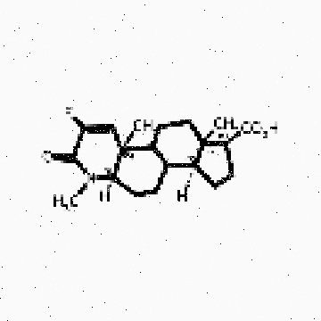 CN1C(=O)C(F)=C[C@]2(C)C3CC[C@]4(C)[C@@H](C(=O)O)CC[C@H]4C3CC[C@@H]12